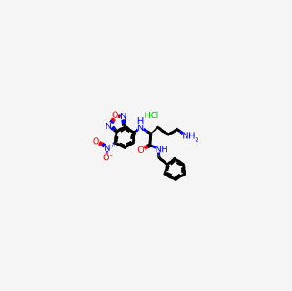 Cl.NCCC[C@H](Nc1ccc([N+](=O)[O-])c2nonc12)C(=O)NCc1ccccc1